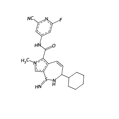 Cn1cc2c(c1C(=O)Nc1cc(F)nc(C#N)c1)C=CC(C1CCCCC1)NS2=N